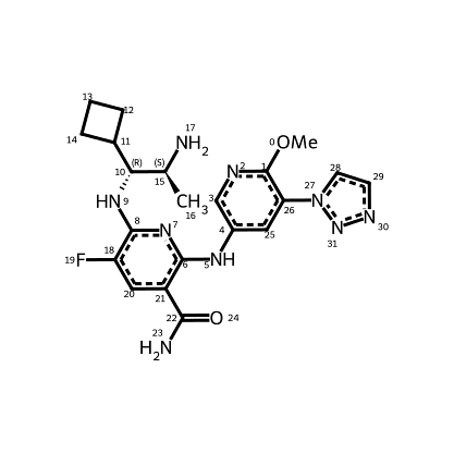 COc1ncc(Nc2nc(N[C@H](C3CCC3)[C@H](C)N)c(F)cc2C(N)=O)cc1-n1ccnn1